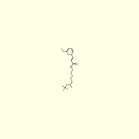 CCC1=CC=CC(C=CC(=O)OCCCCCC(C)CC(C)(C)C)C1